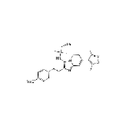 COc1ccc(CCc2nc3cc(-c4c(C)noc4C)ccn3c2NC(C)(C)CC(C)(C)C)cc1